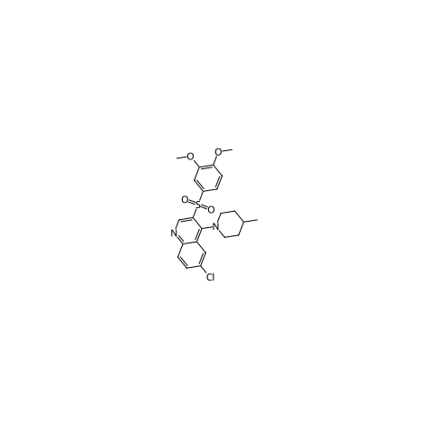 COc1ccc(S(=O)(=O)c2cnc3ccc(Cl)cc3c2N2CCC(C)CC2)cc1OC